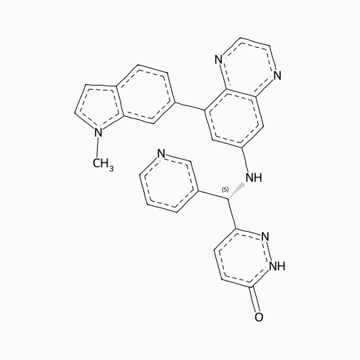 Cn1ccc2ccc(-c3cc(N[C@@H](c4cccnc4)c4ccc(=O)[nH]n4)cc4nccnc34)cc21